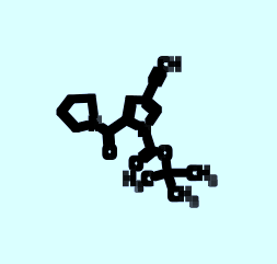 C#Cc1cc(C(=O)N2CCCC2)n(C(=O)OC(C)(C)C)c1